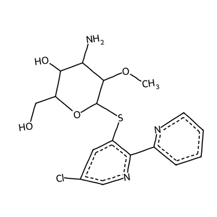 COC1C(Sc2cc(Cl)cnc2-c2ccccn2)OC(CO)C(O)C1N